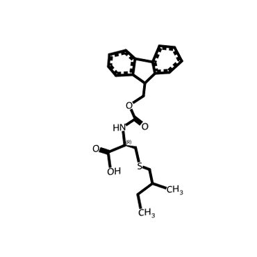 CCC(C)CSC[C@H](NC(=O)OCC1c2ccccc2-c2ccccc21)C(=O)O